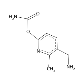 Cc1nc(OC(N)=O)ccc1CN